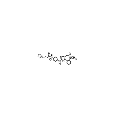 CN1C(=O)Cc2cnc(Nc3ccc(S(=O)(=O)NCCCN4CCCC4)cc3)nc2-c2ccccc21